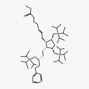 COC(=O)CCC/C=C/C[C@@H]1[C@@H](CC[C@H](CCc2ccccc2)O[Si](C(C)C)(C(C)C)C(C)C)[C@H](O[Si](C(C)C)(C(C)C)C(C)C)C[C@@H]1O[Si](C(C)C)(C(C)C)C(C)C